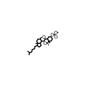 COC(=O)OC1CCC2(C)C(C1)C(=O)C(C1C(C)CCC3(C)C(CCCCC(C)C)CCC13)O[C@@H]2C